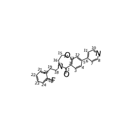 O=C1c2ccc(-c3ccncc3)cc2OCCN1CCc1ccccc1F